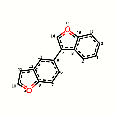 [c]1ccc2c(-c3ccc4occc4c3)coc2c1